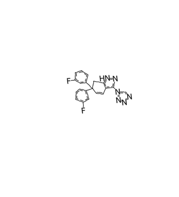 Fc1cccc(C2(c3cccc(F)c3)C=Cc3c(-n4cnnn4)n[nH]c3C2)c1